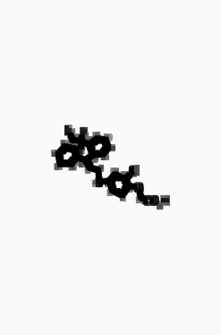 O=C(O)COc1ccc(SC/C=C(/c2ccccc2)c2ccccc2C(F)(F)CF)cc1Cl